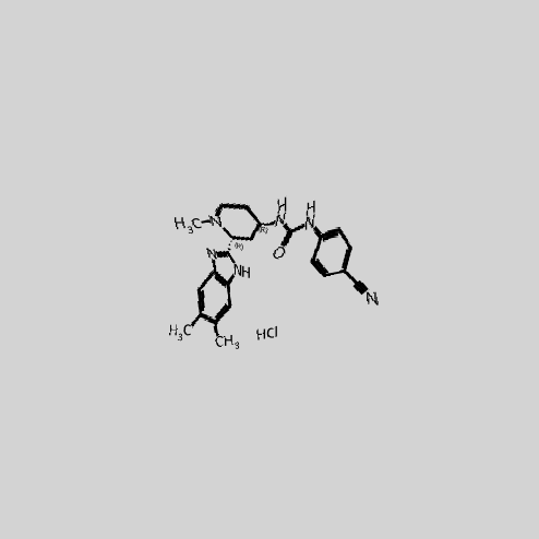 Cc1cc2nc([C@H]3C[C@H](NC(=O)Nc4ccc(C#N)cc4)CCN3C)[nH]c2cc1C.Cl